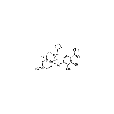 CC(=O)c1ccc(C[C@H]2N(CC3CCC3)CC[C@@H]3C[C@H](O)CC[C@]32O)c(C)c1O